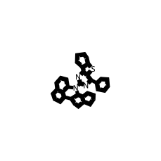 c1ccc(-c2nc(N3c4c(ccc5ccccc45)-c4cccc5cccc3c45)nc3c2sc2ccccc23)cc1